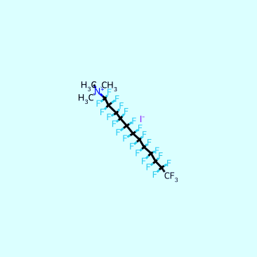 C[N+](C)(C)C(F)(F)C(F)(F)C(F)(F)C(F)(F)C(F)(F)C(F)(F)C(F)(F)C(F)(F)C(F)(F)C(F)(F)C(F)(F)C(F)(F)F.[I-]